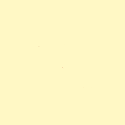 Cn1cc(C2=C(c3cccc(NCCCO[SiH2]C(C)(C)C)c3)C(=O)NC2=O)c2ccccc21